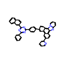 c1ccc(-c2nc(-c3ccc(-c4ccc5c(c4)c4cc(-c6ccccn6)ccc4c4nc6ccccn6c54)cc3)nc(-c3ccc4ccccc4c3)n2)cc1